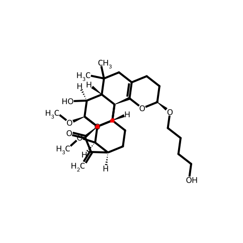 C=C1C(=O)[C@]23[C@H](OC)[C@H]1CC[C@H]2[C@@]12CO[C@@]3(OC)[C@@H](O)[C@@H]1C(C)(C)CC1=C2O[C@H](OCCCCO)CC1